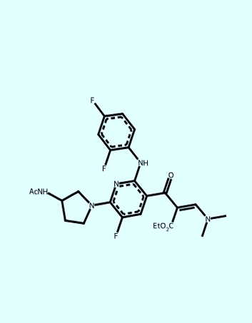 CCOC(=O)/C(=C\N(C)C)C(=O)c1cc(F)c(N2CCC(NC(C)=O)C2)nc1Nc1ccc(F)cc1F